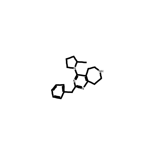 CC1CCCN1c1nc(Cc2ccccc2)nc2c1CCNCC2